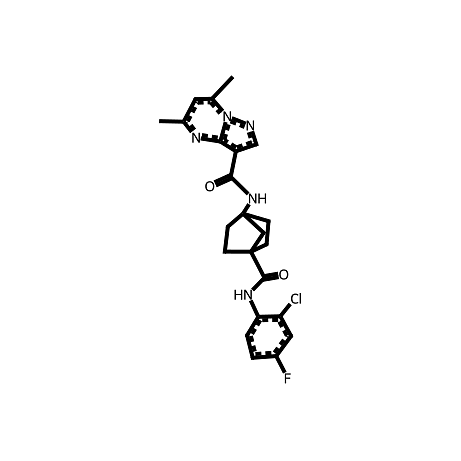 Cc1cc(C)n2ncc(C(=O)NC34CCC(C(=O)Nc5ccc(F)cc5Cl)(CC3)C4)c2n1